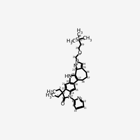 CCC1(CC)C(=O)N(c2ccccn2)c2cc3c4c([nH]c3cc21)-c1nn(COCC[Si](C)(C)C)cc1CCC4